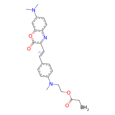 BCC(=O)OCCN(C)c1ccc(/C=C/c2nc3ccc(N(C)C)cc3oc2=O)cc1